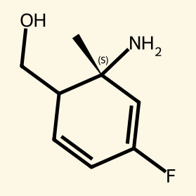 C[C@@]1(N)C=C(F)C=CC1CO